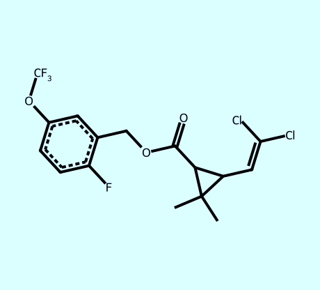 CC1(C)C(C=C(Cl)Cl)C1C(=O)OCc1cc(OC(F)(F)F)ccc1F